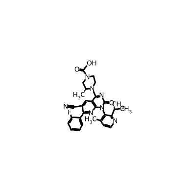 Cc1ccnc(C(C)C)c1-n1c(=O)nc(N2CCN(C(=O)O)C[C@@H]2C)c2cc(C#N)c(-c3ccccc3F)nc21